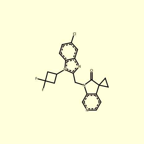 O=C1N(Cc2nc3cc(Cl)ccc3n2C2CC(F)(F)C2)c2cnccc2C12CC2